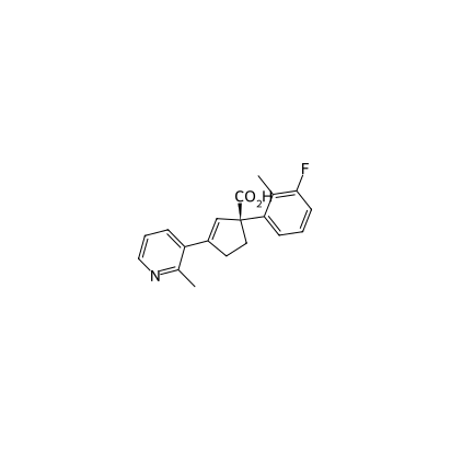 Cc1ncccc1C1=C[C@](C(=O)O)(c2cccc(F)c2C)CC1